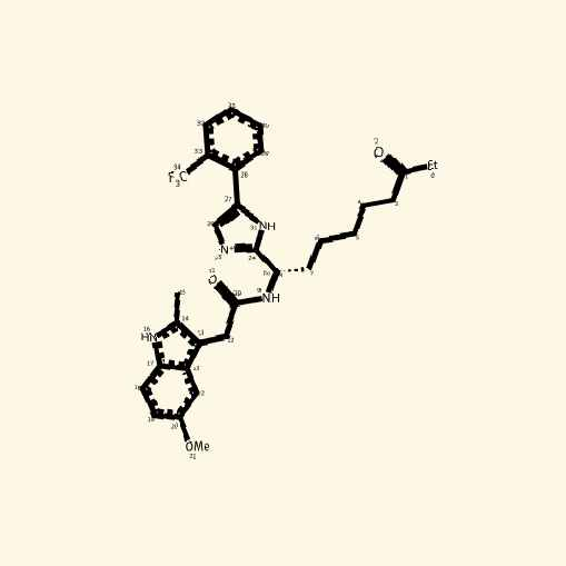 CCC(=O)CCCCC[C@H](NC(=O)Cc1c(C)[nH]c2ccc(OC)cc12)C1=[N+]C=C(c2ccccc2C(F)(F)F)N1